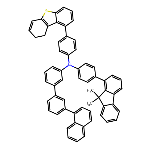 CC1(C)c2ccccc2-c2cccc(-c3ccc(N(c4ccc(-c5cccc6sc7c(c56)CCC=C7)cc4)c4cccc(-c5cccc(-c6cccc7ccccc67)c5)c4)cc3)c21